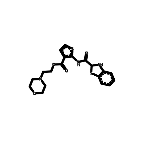 O=C(OCCN1CCOCC1)c1ccsc1NC(=O)C1Nc2ccccc2S1